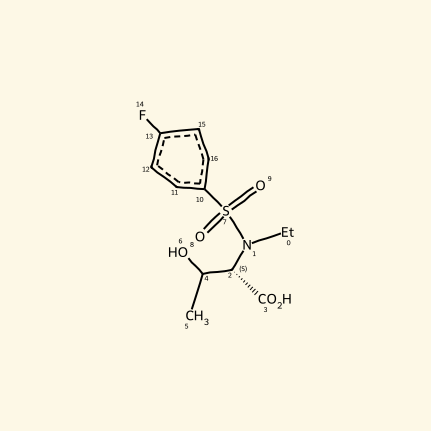 CCN([C@H](C(=O)O)C(C)O)S(=O)(=O)c1ccc(F)cc1